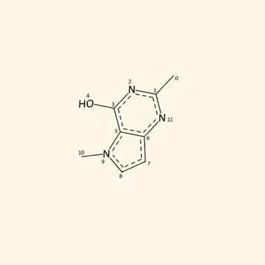 Cc1nc(O)c2c(ccn2C)n1